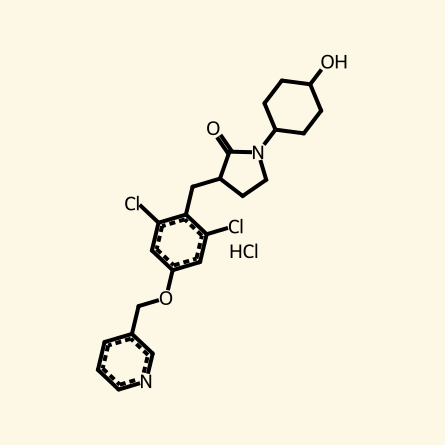 Cl.O=C1C(Cc2c(Cl)cc(OCc3cccnc3)cc2Cl)CCN1C1CCC(O)CC1